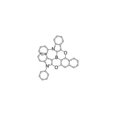 c1ccc(-n2c3c(c4ccccc42)B2c4c(cc5ccccc5c4Oc4c2n(-c2ccccc2)c2ccccc42)O3)cc1